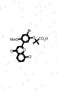 COc1cc(Br)c(OC(C)(C)C(=O)O)cc1-c1cc(=O)c2cccc(Cl)c2o1